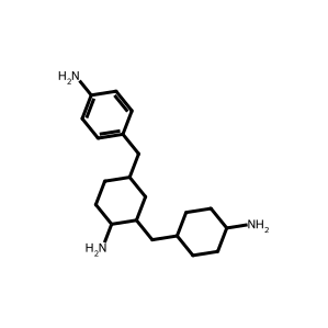 Nc1ccc(CC2CCC(N)C(CC3CCC(N)CC3)C2)cc1